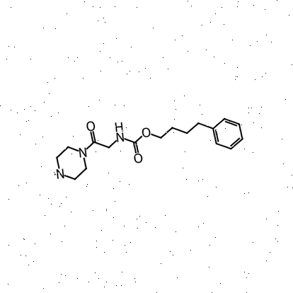 O=C(NCC(=O)N1CC[N]CC1)OCCCCc1ccccc1